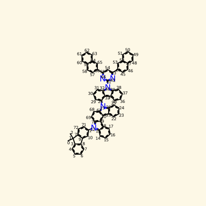 CC1(C)c2ccccc2-c2cc(-n3c4ccccc4c4c5c6ccccc6n(-c6cccc7c6c6ccccc6n7-c6nc(-c7ccc8ccccc8c7)cc(-c7ccc8ccccc8c7)n6)c5ccc43)ccc21